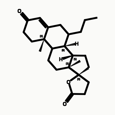 CCCC1CC2=CC(=O)CC[C@]2(C)C2CC[C@@]3(C)[C@@H](CC[C@@]34CCC(=O)O4)[C@H]12